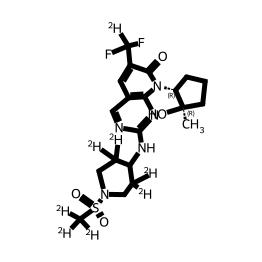 [2H]C(F)(F)c1cc2cnc(NC3C([2H])([2H])CN(S(=O)(=O)C([2H])([2H])[2H])CC3([2H])[2H])nc2n([C@@H]2CCC[C@@]2(C)O)c1=O